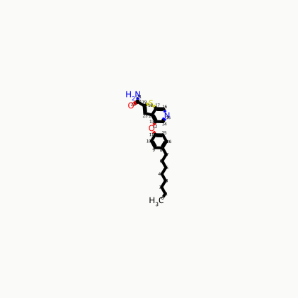 CCCCCCCCc1ccc(Oc2cncc3sc(C(N)=O)cc23)cc1